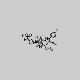 CCc1nc2sc(N3CCC(NC(=O)O)C3)nn2c1N(C)c1nc(-c2ccc(F)cc2)c(C#N)s1